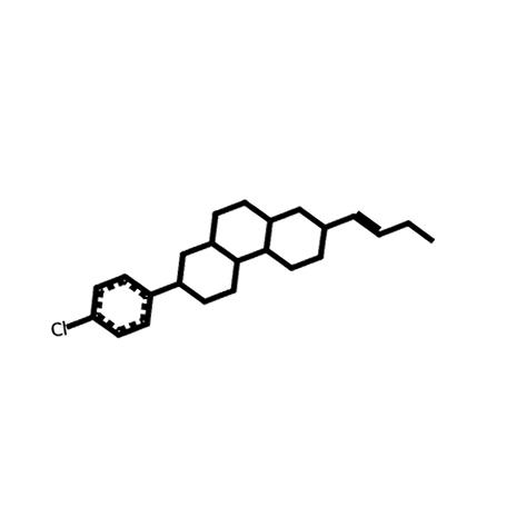 CC/C=C/C1CCC2C(CCC3CC(c4ccc(Cl)cc4)CCC32)C1